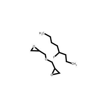 C(OCC1CO1)C1CO1.CCCCC(F)CCC